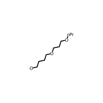 CCCOCCCOCCCC[O]